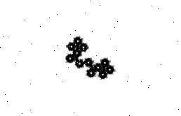 c1ccc(S(c2ccccc2)(c2ccccc2)c2ccc3c(c2)c2ccccc2n3-c2cccc(-c3cccc(-n4c5ccccc5c5cc(S(c6ccccc6)(c6ccccc6)c6ccccc6)ccc54)c3)c2)cc1